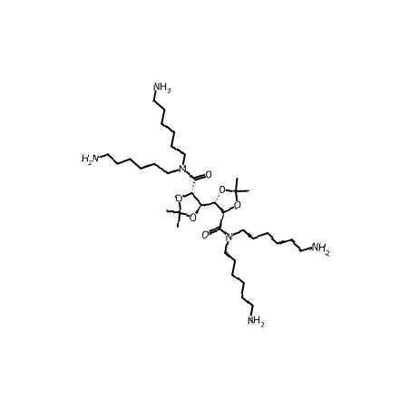 CC1(C)O[C@H]([C@@H]2OC(C)(C)O[C@H]2C(=O)N(CCCCCCN)CCCCCCN)[C@@H](C(=O)N(CCCCCCN)CCCCCCN)O1